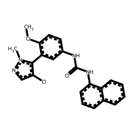 COc1ccc(NC(=O)Nc2cccc3ccccc23)cc1-c1c(Cl)cnn1C